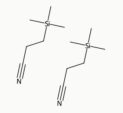 C[Si](C)(C)CCC#N.C[Si](C)(C)CCC#N